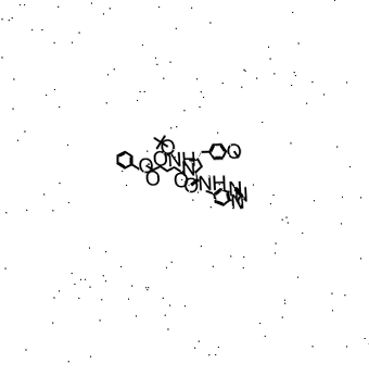 COc1ccc(C[C@@H]2C[C@@H](C(=O)NCc3ccc4c(c3)nnn4C)N(C(=O)C(CCC(=O)OCc3ccccc3)NC(=O)OC(C)(C)C)C2)cc1